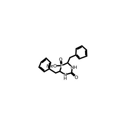 COP1(=O)C(Cc2ccccc2)NC(=O)NC1Cc1ccccc1